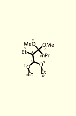 CCCC(OC)(OC)C(CC)[C](OCC)OCC